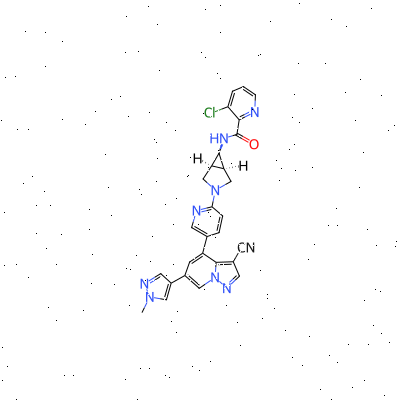 Cn1cc(-c2cc(-c3ccc(N4C[C@@H]5[C@H](C4)[C@@H]5NC(=O)c4ncccc4Cl)nc3)c3c(C#N)cnn3c2)cn1